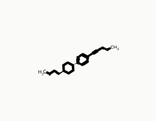 CCCC#Cc1ccc([C@H]2CC[C@H](CCCC)CC2)cc1